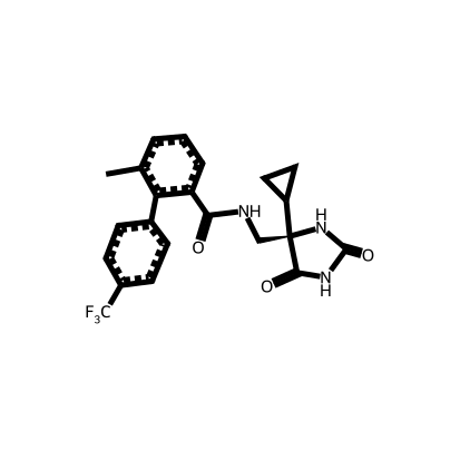 Cc1cccc(C(=O)NC[C@@]2(C3CC3)NC(=O)NC2=O)c1-c1ccc(C(F)(F)F)cc1